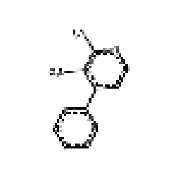 Nc1nccc(-c2ccccc2)c1[N+](=O)[O-]